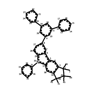 CC1(C)c2cc3c4cc(-c5cc(-c6ccccc6)cc(-c6ccccc6)c5)ccc4n(-c4ccccc4)c3cc2C(C)(C)C1(C)C